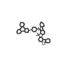 CC1(C)c2ccc3oc4ccccc4c3c2-c2ccc3c4ccccc4n(-c4ccc(-c5ccc6c7ccccc7c7ccccc7c6c5)cc4)c3c21